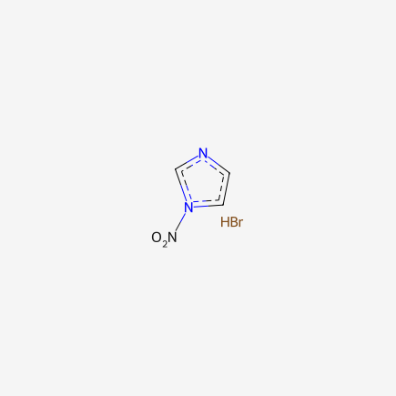 Br.O=[N+]([O-])n1ccnc1